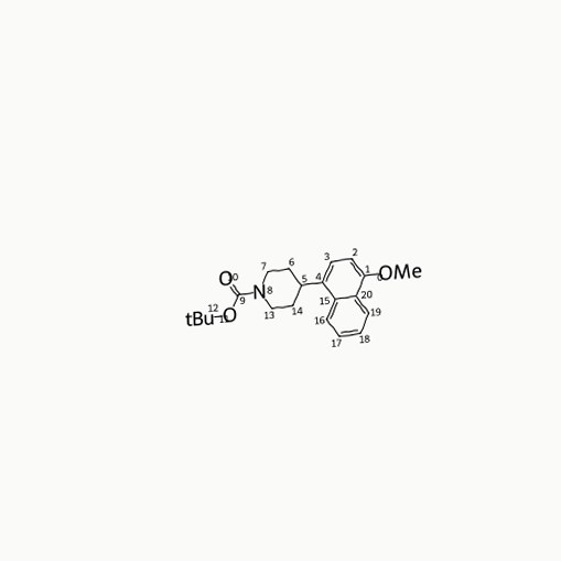 COc1ccc(C2CCN(C(=O)OC(C)(C)C)CC2)c2ccccc12